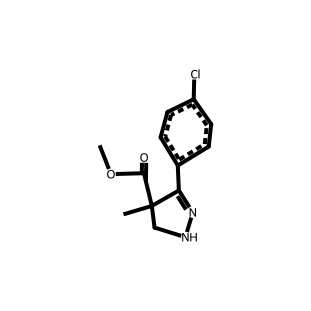 COC(=O)C1(C)CNN=C1c1ccc(Cl)cc1